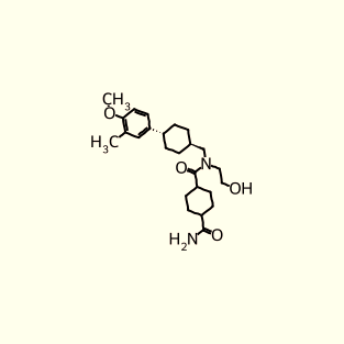 COc1ccc([C@H]2CC[C@H](CN(CCO)C(=O)C3CCC(C(N)=O)CC3)CC2)cc1C